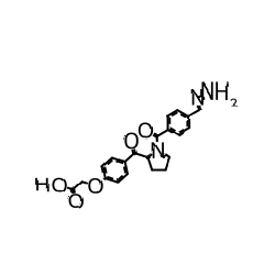 NN=Cc1ccc(C(=O)N2CCCC2C(=O)c2ccc(OCC(=O)O)cc2)cc1